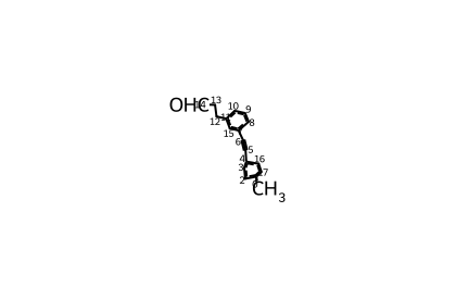 Cc1ccc(C#Cc2cccc(CCC=O)c2)cc1